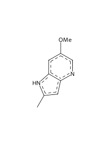 COc1cnc2cc(C)[nH]c2c1